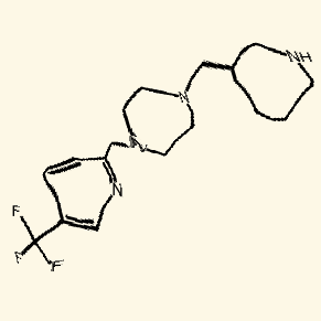 FC(F)(F)c1ccc(N2CCN(CC3CCCNC3)CC2)nc1